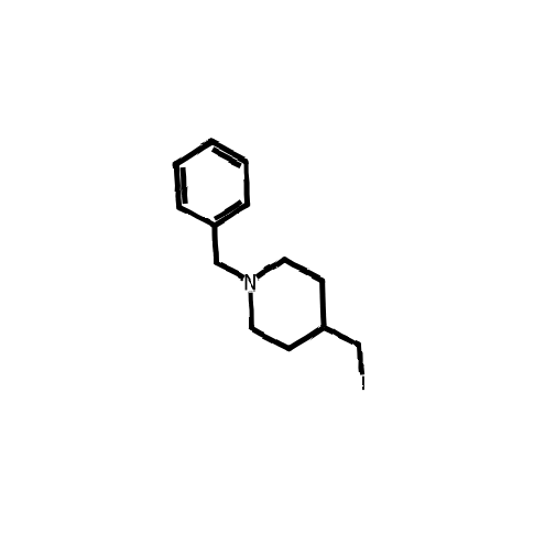 ICC1CCN(Cc2ccccc2)CC1